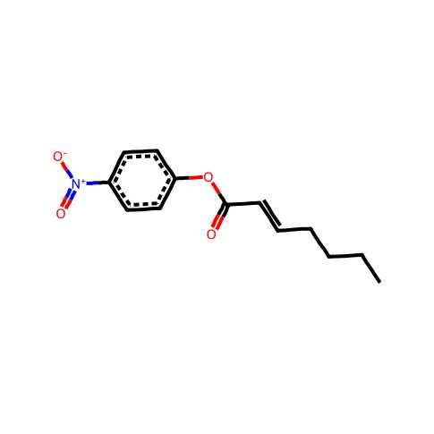 CCCCC=CC(=O)Oc1ccc([N+](=O)[O-])cc1